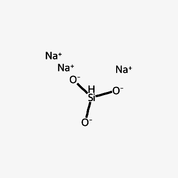 [Na+].[Na+].[Na+].[O-][SiH]([O-])[O-]